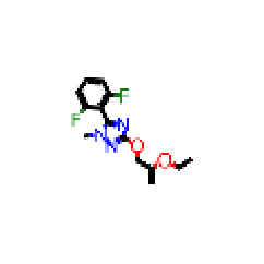 C=C(COc1nc(-c2c(F)cccc2F)n(C)n1)OCC